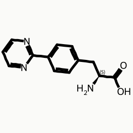 N[C@@H](Cc1ccc(-c2ncccn2)cc1)C(=O)O